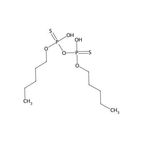 CCCCCOP(O)(=S)OP(O)(=S)OCCCCC